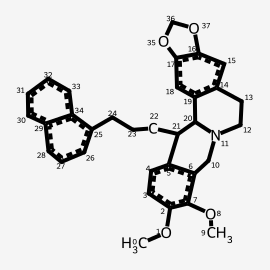 COc1ccc2c(c1OC)CN1CCc3cc4c(cc3C1C2CCCc1cccc2ccccc12)OCO4